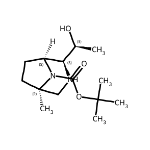 C[C@H](O)[C@H]1NC[C@@]2(C)CC[C@@H]1N2C(=O)OC(C)(C)C